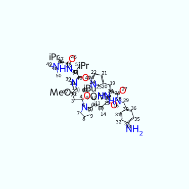 CC[C@H](C)[C@@H]([C@@H](CC(=O)N1CCC[C@H]1[C@H](OC)[C@@H](C)C(=O)N[C@@H](Cc1cccnc1)C(=O)NCc1ccc(N)cc1)OC)N(C)C(=O)[C@@H](NC(=O)[C@H](C(C)C)N(C)C)C(C)C